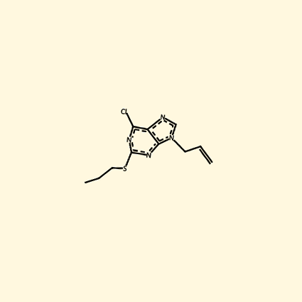 C=CCn1cnc2c(Cl)nc(SCCC)nc21